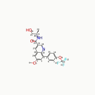 COc1cc(-c2ccc(OC(F)(F)F)cc2)c2ncc(C(=O)N[C@H](C)CO)cc2c1